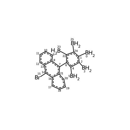 Bc1c(B)c(B)c(-c2c3ccccc3c(Br)c3ccccc23)c(B)c1B